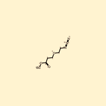 CC(C)(C)OC(=O)CCOCCN=[N+]=[N-]